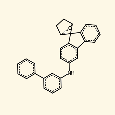 c1ccc(-c2cccc(Nc3ccc4c(c3)-c3ccccc3C43C4CCC3CC4)c2)cc1